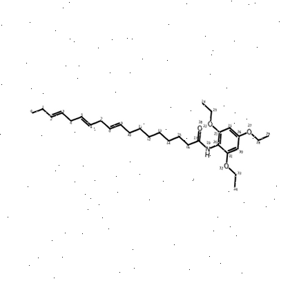 CCC=CCC=CCC=CCCCCCCCC(=O)Nc1c(OCC)cc(OCC)cc1OCC